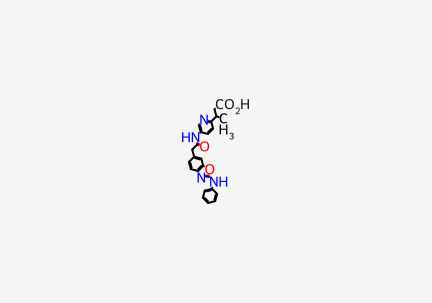 CC(CC(=O)O)c1ccc(NC(=O)Cc2ccc3nc(Nc4ccccc4)oc3c2)cn1